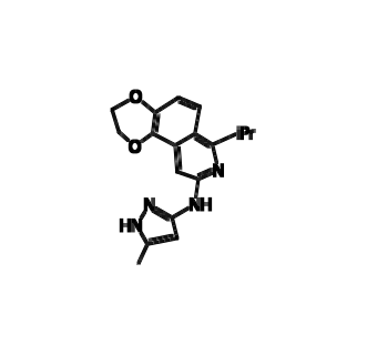 Cc1cc(Nc2cc3c4c(ccc3c(C(C)C)n2)OCCO4)n[nH]1